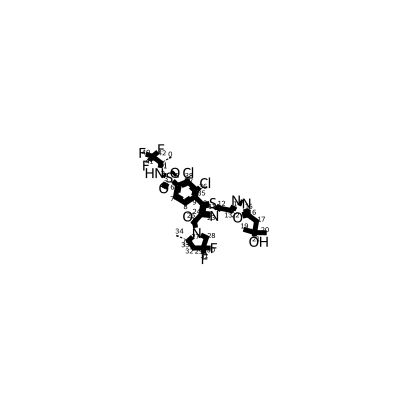 C[C@H](NS(=O)(=O)c1ccc(-c2sc(-c3nnc(CC(C)(C)O)o3)nc2C(=O)N2CC(F)(F)C[C@@H]2C)c(Cl)c1Cl)C(F)(F)F